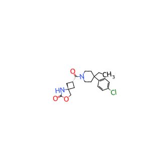 CCC1(c2ccc(Cl)cc2)CCN(C(=O)[C@H]2C[C@]3(COC(=O)N3)C2)CC1